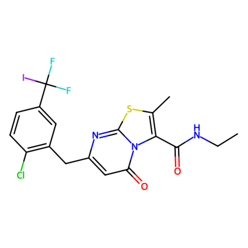 CCNC(=O)c1c(C)sc2nc(Cc3cc(C(F)(F)I)ccc3Cl)cc(=O)n12